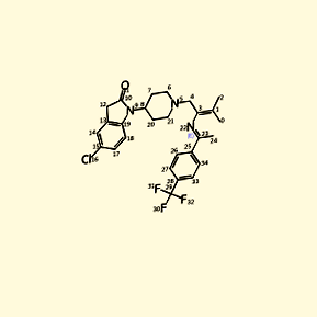 CC(C)=C(CN1CCC(N2C(=O)Cc3cc(Cl)ccc32)CC1)/N=C(\C)c1ccc(C(F)(F)F)cc1